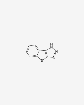 c1ccc2c(c1)sc1nn[nH]c12